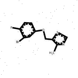 Cc1ncsc1COc1ccc(F)c(Br)c1